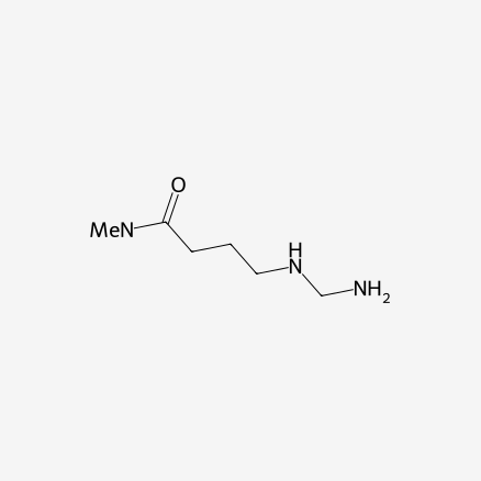 CNC(=O)CCCNCN